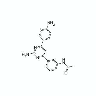 CC(=O)Nc1cccc(-c2cc(-c3ccc(N)nc3)nc(N)n2)c1